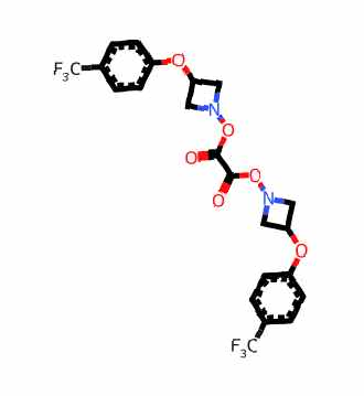 O=C(ON1CC(Oc2ccc(C(F)(F)F)cc2)C1)C(=O)ON1CC(Oc2ccc(C(F)(F)F)cc2)C1